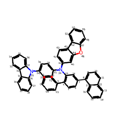 c1ccc(-c2ccc(-c3cccc4ccccc34)cc2N(c2ccc(-n3c4ccccc4c4ccccc43)cc2)c2ccc3c(c2)oc2ccccc23)cc1